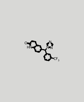 O=c1ccc2cc(C(c3cccc(C(F)(F)F)c3)n3cncn3)ccc2[nH]1